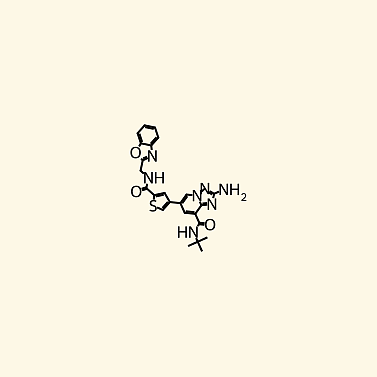 CC(C)(C)NC(=O)c1cc(-c2csc(C(=O)NCc3nc4ccccc4o3)c2)cn2nc(N)nc12